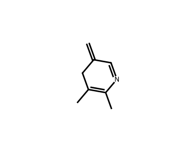 C=C1C=NC(C)=C(C)C1